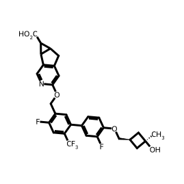 C[C@]1(O)C[C@@H](COc2ccc(-c3cc(COc4cc5c(cn4)C4C(C5)C4C(=O)O)c(F)cc3C(F)(F)F)cc2F)C1